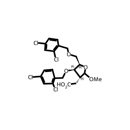 COC1O[C@H](COCc2ccc(Cl)cc2Cl)[C@H](OCc2ccc(Cl)cc2Cl)[C@H]1CC(=O)O